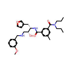 CCCN(CCC)C(=O)c1cc(C)cc(C(=O)N[C@@H](Cc2ccoc2)[C@H](O)CNCc2cccc(OC)c2)c1